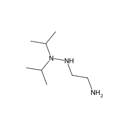 CC(C)N(NCCN)C(C)C